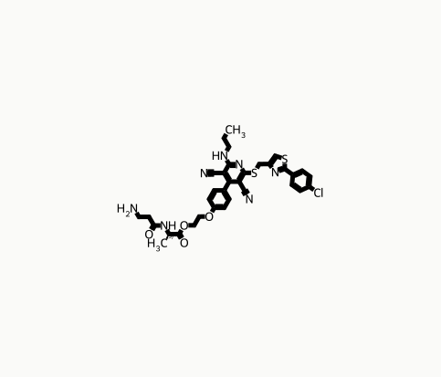 CCCNc1nc(SCc2csc(-c3ccc(Cl)cc3)n2)c(C#N)c(-c2ccc(OCCOC(=O)[C@H](C)NC(=O)CCN)cc2)c1C#N